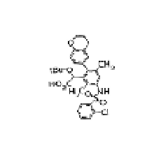 Cc1cc(NS(=O)(=O)c2ccccc2Cl)c(C)c(C(OC(C)(C)C)C(=O)O)c1-c1ccc2c(c1)CCCO2